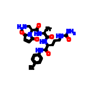 CCc1ccc(NC(=O)[C@H](CCCNC(N)=O)NC(=O)[C@@H](NC(=O)[C@H](CN)N2C(=O)C=CC2=O)C(C)C)cc1